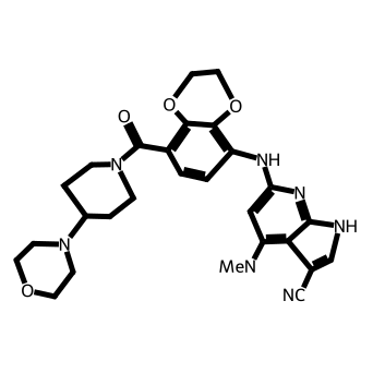 CNc1cc(Nc2ccc(C(=O)N3CCC(N4CCOCC4)CC3)c3c2OCCO3)nc2[nH]cc(C#N)c12